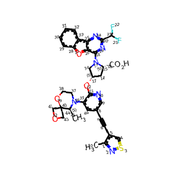 Cc1nscc1C#Cc1cnc(O[C@H]2C[C@@H](C(=O)O)N(c3nc(C(F)F)nc4c3oc3ccccc34)C2)c(N2CCOC3(COC3)[C@@H]2C)c1